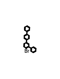 Brc1ccc(-c2ccc(-c3ccccc3)cc2)cc1-c1ccccc1